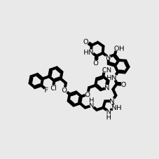 N#Cc1cncc(COc2cc(OCc3cccc(-c4ccccc4F)c3Cl)ccc2CNCC2CN(CCC(=O)Nc3cccc4c(O)n(C5CCC(=O)NC5=O)cc34)NN2)c1